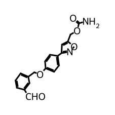 NC(=O)OCc1cc(-c2ccc(OCc3cccc(C=O)c3)cc2)no1